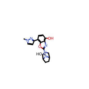 Cn1ccc(-c2ccc(O)c3nc(N4CC5CCC(C4)N5C(=O)O)oc23)n1